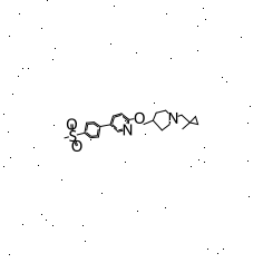 CC1(CN2CCC(COc3ccc(-c4ccc(S(C)(=O)=O)cc4)cn3)CC2)CC1